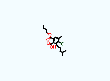 CCCCOC(=O)c1cc(C)c(Cl)c(CCCC(C)C)c1C(=O)O